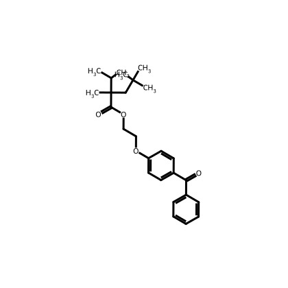 CC(C)C(C)(CC(C)(C)C)C(=O)OCCOc1ccc(C(=O)c2ccccc2)cc1